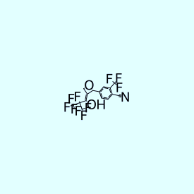 N#Cc1ccc(C2OC/C2=C(/O)C(F)(C(F)(F)F)C(F)(F)F)cc1C(F)(F)F